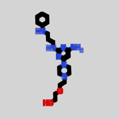 Nc1cc(N2CCN(CCOCCO)CC2)nc(NCCCNC2CCCCC2)n1